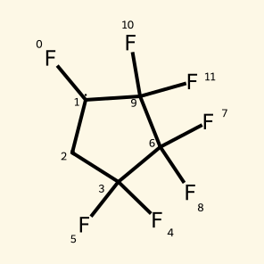 F[C]1CC(F)(F)C(F)(F)C1(F)F